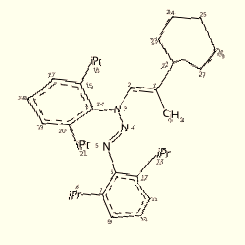 C/C(=C\N(/N=N/c1c(C(C)C)cccc1C(C)C)c1c(C(C)C)cccc1C(C)C)C1CCCCC1